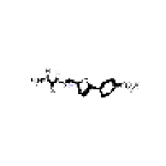 NNC(=S)N/N=C/c1ccc(-c2ccc(C(=O)O)cc2)o1